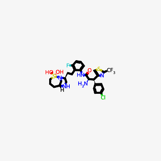 N[C@H](C(=O)Nc1cccc(F)c1CC[C@H]1CN[C@@H]2CCCS(O)(O)N1C2)[C@@H](c1ccc(Cl)cc1)c1csc(C(F)(F)F)n1